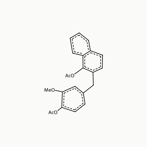 COc1cc(Cc2ccc3ccccc3c2OC(C)=O)ccc1OC(C)=O